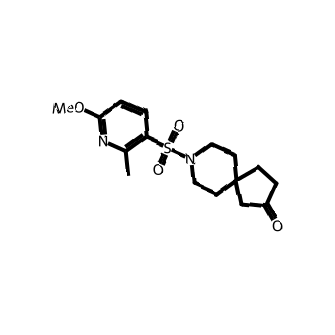 COc1ccc(S(=O)(=O)N2CCC3(CCC(=O)C3)CC2)c(C)n1